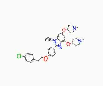 CCCCn1c(-c2ccc(OCCc3ccc(Cl)cc3)cc2)nc2c(OC3CCN(C)CC3)cc(OC3CCN(C)CC3)cc21